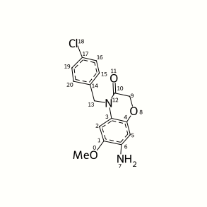 COc1cc2c(cc1N)OCC(=O)N2Cc1ccc(Cl)cc1